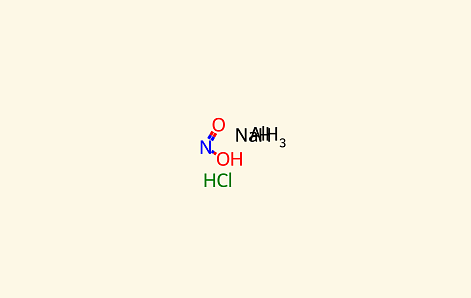 Cl.O=NO.[AlH3].[NaH]